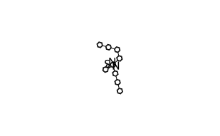 c1ccc(-c2ccc(-c3ccc(-c4nc(-c5cccc(-c6cccc(-c7ccc(-c8ccccc8)cc7)c6)c5)nc5sc6ccccc6c45)cc3)cc2)cc1